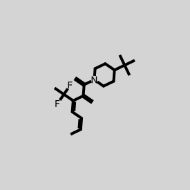 C=C(C(=C)N1CCC(C(C)(C)C)CC1)/C(=C\C=C/C)C(C)(F)F